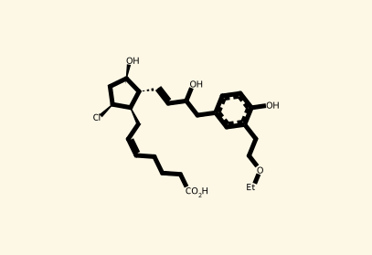 CCOCCc1cc(CC(O)/C=C/[C@@H]2[C@@H](C/C=C\CCCC(=O)O)[C@@H](Cl)C[C@H]2O)ccc1O